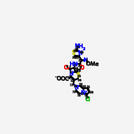 CO/N=C(\C(=O)N[C@@H]1C(=O)N2C(C(=O)[O-])=C(Cn3cc[n+]4c(Cl)ccc-4c3)CS[C@@H]12)c1csc(N)n1